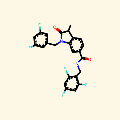 CC1C(=O)N(Cc2cc(F)cc(F)c2)c2cc(C(=O)NCc3c(F)cc(F)cc3F)ccc21